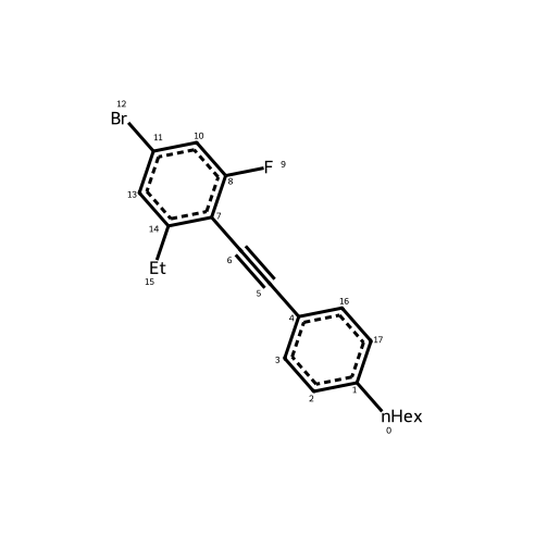 CCCCCCc1ccc(C#Cc2c(F)cc(Br)cc2CC)cc1